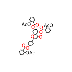 CC(=O)Oc1ccccc1C(=O)Oc1ccc(-c2cc(=O)c3c(OC(=O)c4ccccc4OC(C)=O)cc(OC(=O)c4ccccc4OC(C)=O)cc3o2)cc1